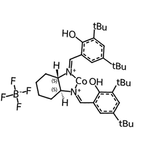 CC(C)(C)c1cc(C=[N+]2[Co][N+](=Cc3cc(C(C)(C)C)cc(C(C)(C)C)c3O)[C@H]3CCCC[C@@H]32)c(O)c(C(C)(C)C)c1.F[B-](F)(F)F